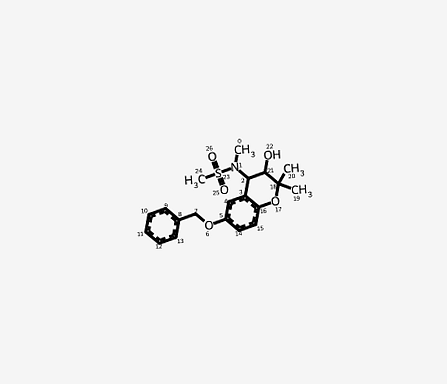 CN(C1c2cc(OCc3ccccc3)ccc2OC(C)(C)C1O)S(C)(=O)=O